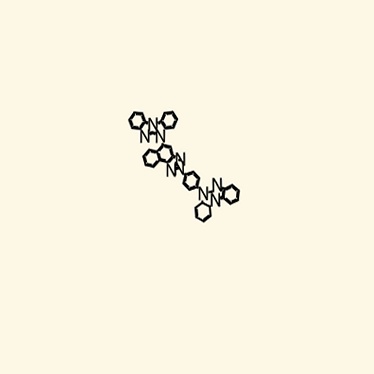 C1=CC2C(C=C1)n1c(nc3ccccc31)N2c1ccc(-n2nc3cc(-n4c5ccccc5n5c6ccccc6nc45)c4ccccc4c3n2)cc1